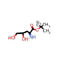 CC(C)(C)OC(=O)C(=N)CC(O)CO